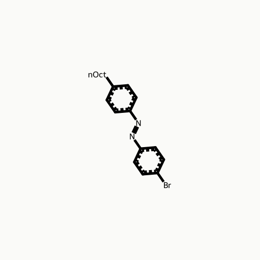 CCCCCCCCc1ccc(N=Nc2ccc(Br)cc2)cc1